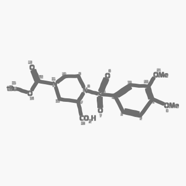 COc1ccc(S(=O)(=O)N2CCN(C(=O)OC(C)(C)C)CC2C(=O)O)cc1OC